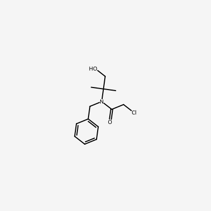 CC(C)(CO)N(Cc1ccccc1)C(=O)CCl